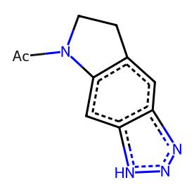 CC(=O)N1CCc2cc3nn[nH]c3cc21